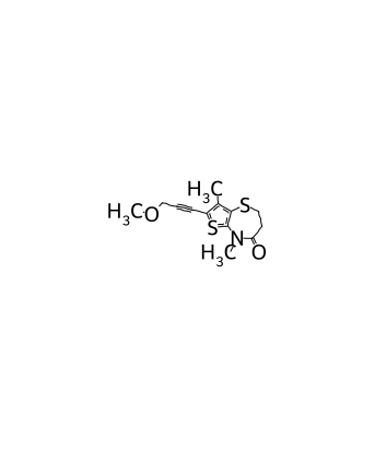 COCC#Cc1sc2c(c1C)SCCC(=O)N2C